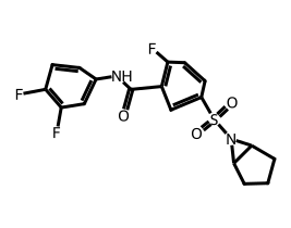 O=C(Nc1ccc(F)c(F)c1)c1cc(S(=O)(=O)N2C3CCCC32)ccc1F